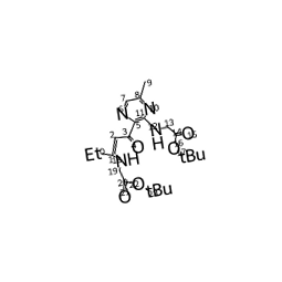 CCC(=CC(=O)c1ncc(C)nc1NCC(=O)OC(C)(C)C)NCC(=O)OC(C)(C)C